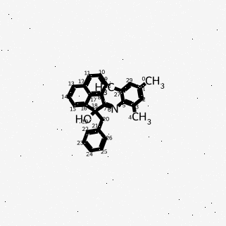 Cc1cc(C)c(/N=C2\c3cccc4cccc(c34)C2(O)Cc2ccccc2)c(C)c1